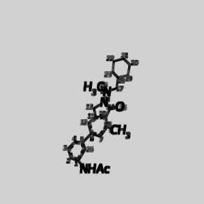 CC(=O)Nc1cccc(-c2cc(C)c3c(c2)CN(N(C)CC2CCCCC2)C3=O)c1